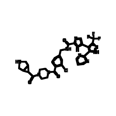 O=C(NCc1ccc(C(=O)N2CCN(C(=O)C3C4CNCC43)CC2)c(Cl)c1)c1ncc(-c2c(C(F)(F)F)n[nH]c2-c2ncccn2)[nH]1